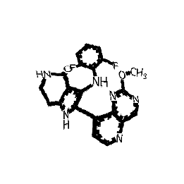 COc1ncc2nccc(-c3[nH]c4c(c3Nc3c(F)cccc3F)C(=O)NCC4)c2n1